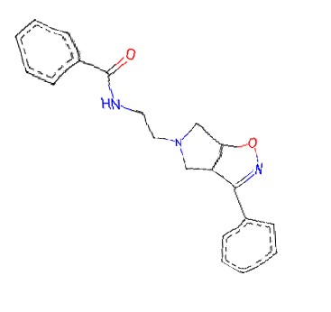 O=C(NCCN1CC2ON=C(c3ccccc3)C2C1)c1ccccc1